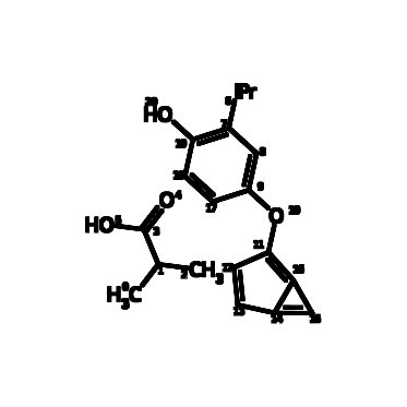 CC(C)C(=O)O.CC(C)c1cc(Oc2ccc3cc2-3)ccc1O